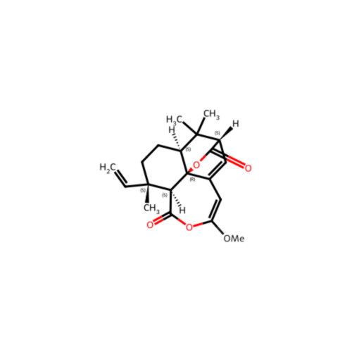 C=C[C@]1(C)CC[C@H]2C(C)(C)[C@@H]3C=C4C=C(OC)OC(=O)[C@@H]1[C@@]42OC3=O